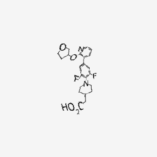 O=C(O)CC1CCN(c2c(F)cc(-c3cccnc3OC3CCOC3)cc2F)CC1